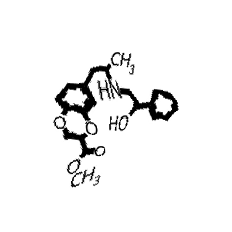 COC(=O)C1COc2ccc(CC(C)NCC(O)c3ccccc3)cc2O1